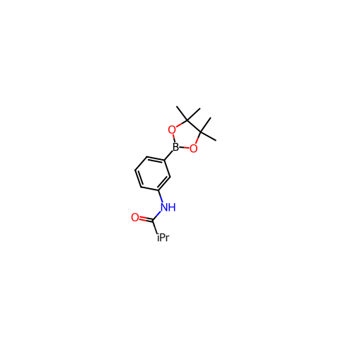 CC(C)C(=O)Nc1cccc(B2OC(C)(C)C(C)(C)O2)c1